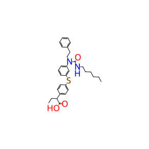 CCCCCCNC(=O)N(CCc1ccccc1)c1cccc(Sc2ccc(C(CC)C(=O)O)cc2)c1